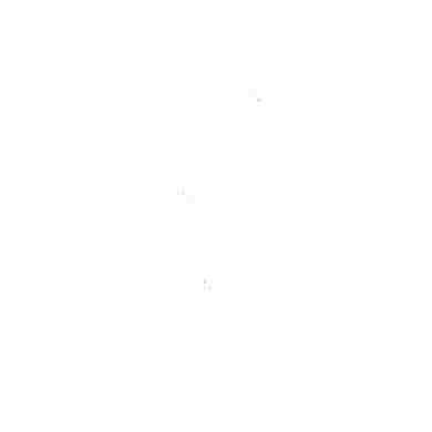 CCC(CC)n1cc(N(CC(=O)O)Cc2ccccc2)c(=O)c2cc(F)c(NC3CCCCC3)cc21